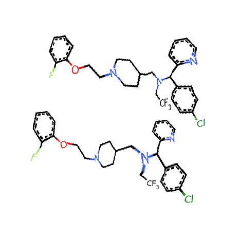 Fc1ccccc1OCCN1CCC(CN(CC(F)(F)F)C(c2ccc(Cl)cc2)c2ccccn2)CC1.Fc1ccccc1OCCN1CCC(CN(CC(F)(F)F)C(c2ccc(Cl)cc2)c2ccccn2)CC1